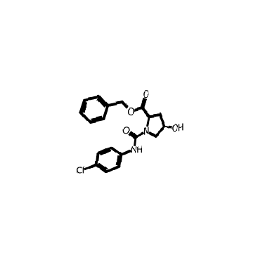 O=C(OCc1ccccc1)C1C[C@@H](O)CN1C(=O)Nc1ccc(Cl)cc1